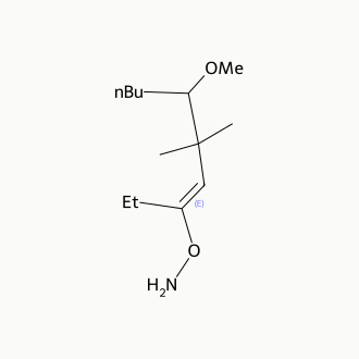 CCCCC(OC)C(C)(C)/C=C(\CC)ON